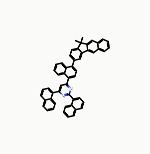 CC1(C)c2ccc(-c3ccc(-c4cc(-c5cccc6ccccc56)nc(-c5cccc6ccccc56)n4)c4ccccc34)cc2-c2cc3ccccc3cc21